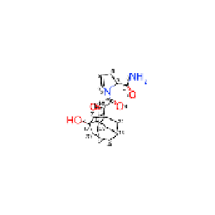 NC(=O)C1CC=CN1C(=O)C(=O)C12CC3CC(CC(O)(C3)C1)C2